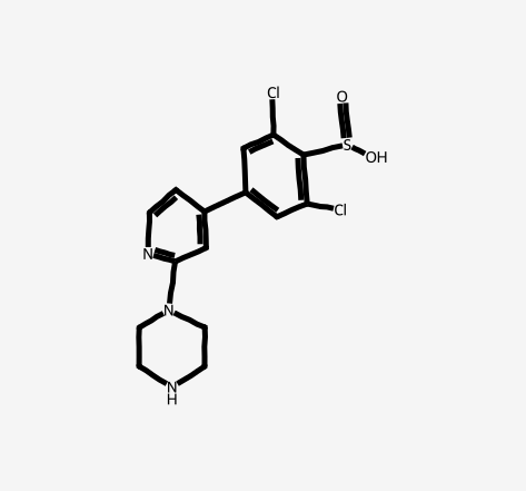 O=S(O)c1c(Cl)cc(-c2ccnc(N3CCNCC3)c2)cc1Cl